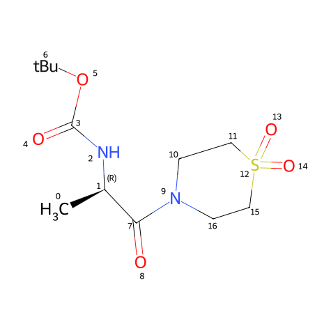 C[C@@H](NC(=O)OC(C)(C)C)C(=O)N1CCS(=O)(=O)CC1